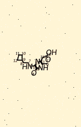 Cc1[nH]c(=O)c(NCCC2CCC2)nc1CC(=O)O